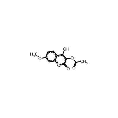 COc1ccc2c(O)c(OC(C)=O)c(=O)oc2c1